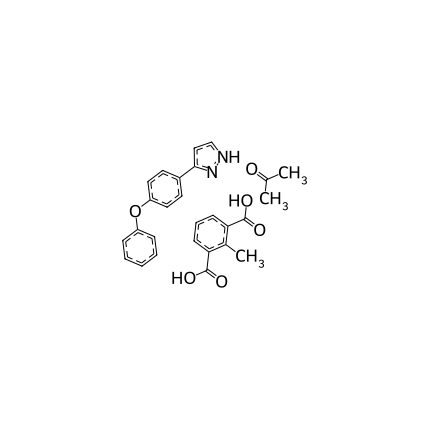 CC(C)=O.Cc1c(C(=O)O)cccc1C(=O)O.c1ccc(Oc2ccc(-c3cc[nH]n3)cc2)cc1